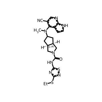 CCSc1nsc(NC(=O)N2C[C@H]3CC(N(C)c4c(C#N)cnc5[nH]ccc45)C[C@H]3C2)n1